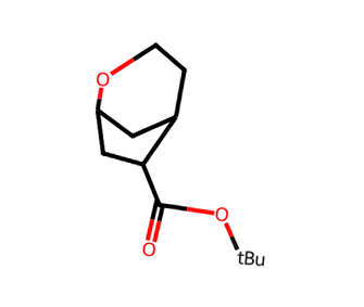 CC(C)(C)OC(=O)C1CC2CC1CCO2